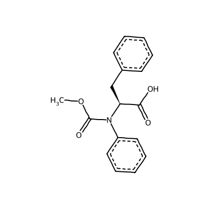 COC(=O)N(c1ccccc1)[C@@H](Cc1ccccc1)C(=O)O